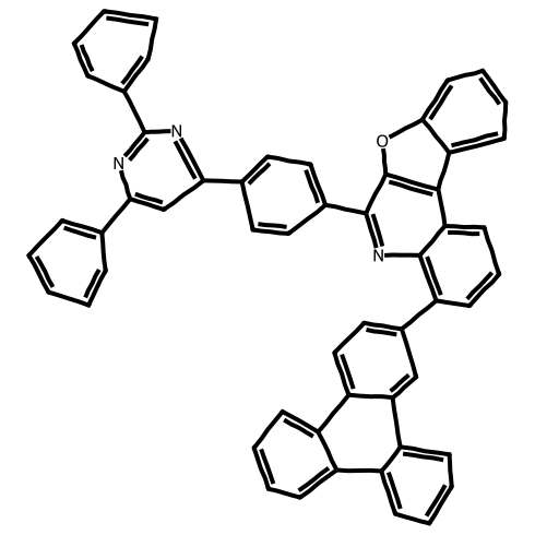 c1ccc(-c2cc(-c3ccc(-c4nc5c(-c6ccc7c8ccccc8c8ccccc8c7c6)cccc5c5c4oc4ccccc45)cc3)nc(-c3ccccc3)n2)cc1